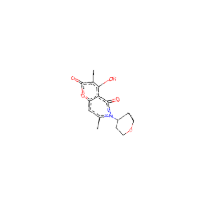 Cc1c(O)c2c(=O)n(C3CCOCC3)c(C)cc2oc1=O